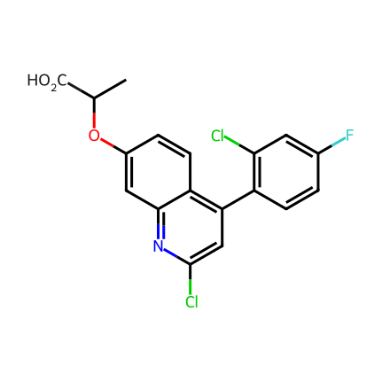 CC(Oc1ccc2c(-c3ccc(F)cc3Cl)cc(Cl)nc2c1)C(=O)O